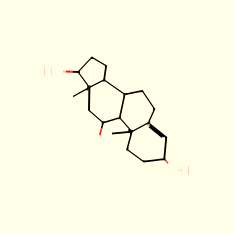 CC12CCC(O)C=C1CCC1C2C(O)CC2(C)C(O)CCC12